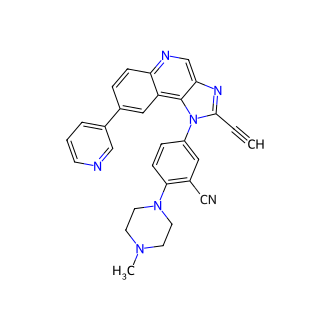 C#Cc1nc2cnc3ccc(-c4cccnc4)cc3c2n1-c1ccc(N2CCN(C)CC2)c(C#N)c1